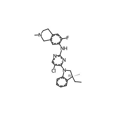 CC[C@]1(C)CN(c2nc(Nc3cc4c(cc3F)CCN(C)C4)ncc2Cl)c2ccccc21